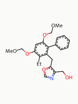 CCc1c(OCOC)cc(OCOC)c(-c2ccccc2)c1Cc1ocnc1CO